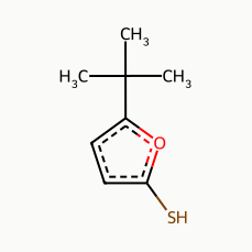 CC(C)(C)c1ccc(S)o1